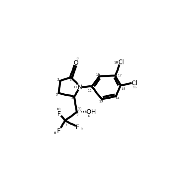 O=C1CCC([C@H](O)C(F)(F)F)N1c1ccc(Cl)c(Cl)c1